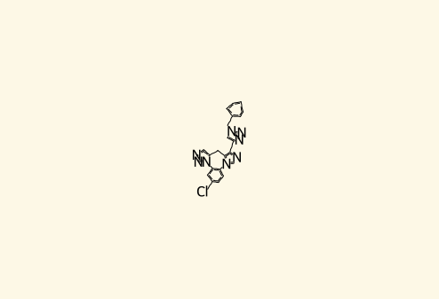 Clc1ccc2c(c1)-n1nncc1Cc1c(-c3cn(Cc4ccccc4)nn3)ncn1-2